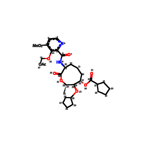 COc1ccnc(C(=O)N[C@H]2CCC[C@H](OC(=O)C3CCCC3)[C@@H](OC3CCCC3)[C@H](C)OC2=O)c1OCOC(C)=O